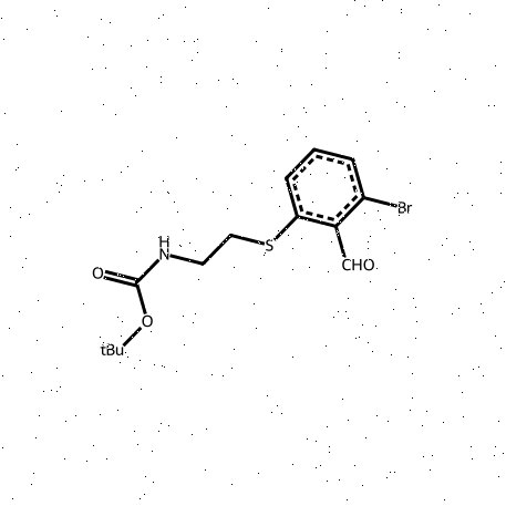 CC(C)(C)OC(=O)NCCSc1cccc(Br)c1C=O